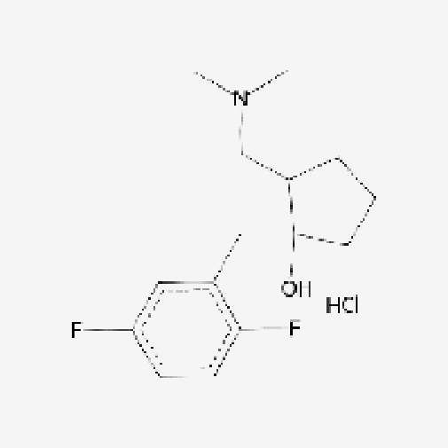 CN(C)CC1CCCC1(O)Cc1cc(F)ccc1F.Cl